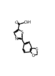 O=C(O)c1cnc(-c2ccc3c(c2)OCO3)s1